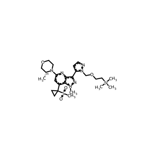 C[C@@H]1COCCN1c1cc(C2(S(C)(=O)=O)CC2)c2c(n1)c(-c1ccnn1COCC[Si](C)(C)C)nn2C